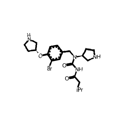 CC(C)CC(=O)NC(=O)N(Cc1ccc(O[C@@H]2CCNC2)c(Br)c1)[C@H]1CCNC1